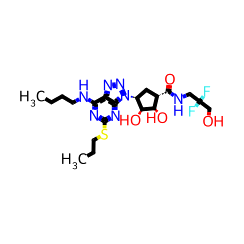 CCCCNc1nc(SCCC)nc2c1nnn2[C@@H]1C[C@H](C(=O)NCC(F)(F)CO)[C@@H](O)[C@H]1O